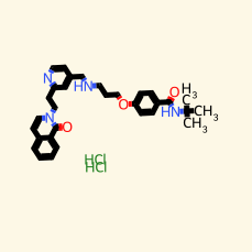 CC(C)(C)NC(=O)c1ccc(OCCCNCc2ccnc(CCn3ccc4ccccc4c3=O)c2)cc1.Cl.Cl